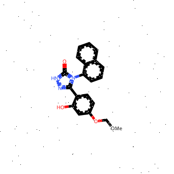 COCOc1ccc(-c2n[nH]c(=O)n2-c2cccc3ccccc23)c(O)c1